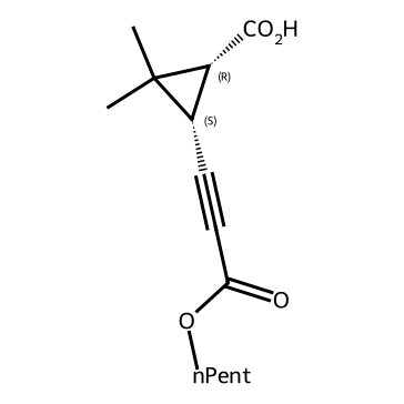 CCCCCOC(=O)C#C[C@H]1[C@@H](C(=O)O)C1(C)C